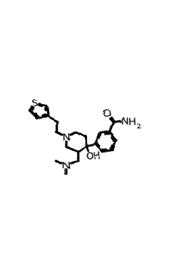 CN(C)CC1CN(CCc2ccsc2)CCC1(O)c1cccc(C(N)=O)c1